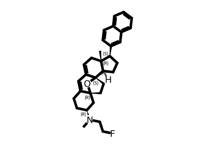 CN(CCF)[C@@H]1CCC2=CC3=CC[C@]4(C)[C@@H](c5ccc6ccccc6c5)CC[C@H]4[C@@]34CC[C@]2(C1)O4